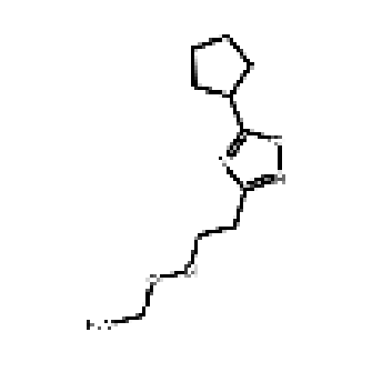 NCOBCCc1noc(C2CCCC2)n1